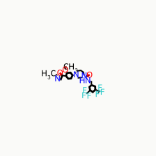 COc1cc(N2CCCN(C(=O)NCc3cc(C(F)(F)F)cc(C(F)(F)F)c3)CC2)ccc1-c1cnc(C)o1